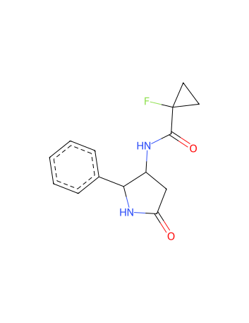 O=C1CC(NC(=O)C2(F)CC2)C(c2ccccc2)N1